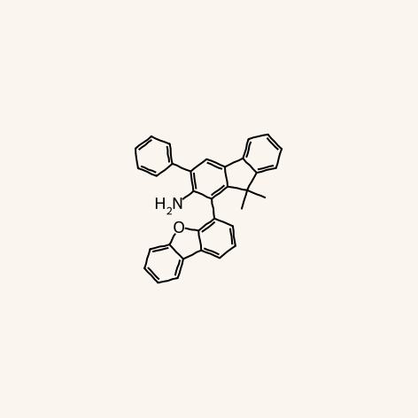 CC1(C)c2ccccc2-c2cc(-c3ccccc3)c(N)c(-c3cccc4c3oc3ccccc34)c21